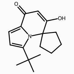 CC(C)(C)c1ccc2n1C1(CCCC1)C(O)=CC2=O